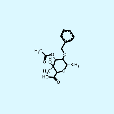 CC(=O)O[C@@H]1C(OCc2ccccc2)[C@H](C)OC(C(=O)O)[C@@]1(C)O